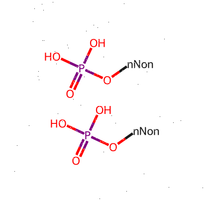 CCCCCCCCCOP(=O)(O)O.CCCCCCCCCOP(=O)(O)O